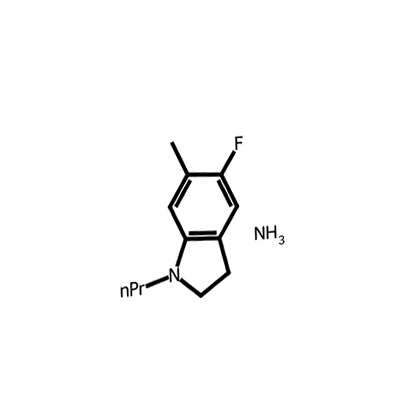 CCCN1CCc2cc(F)c(C)cc21.N